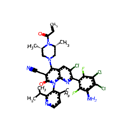 C=CC(=O)N1[C@H](C)CN(c2c(C#N)c(=O)n(-c3c(C)ccnc3C(C)C)c3nc(-c4c(F)c(N)c(Cl)c(Cl)c4F)c(Cl)cc23)C[C@@H]1C